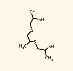 CC(S)CSCC(C)SCC(C)S